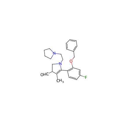 CC1=C(c2ccc(F)cc2OCc2ccccc2)N(CCN2CCCC2)CC1C=O